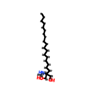 CCCCCCCCCCCCCCCCCCC(CO)(CO)NC